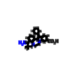 CC1(C)CN2CCn3c(c(C4CCCCC4)c4ccc(C(=O)O)cc43)-c3cccc(c32)[C@@H]1N